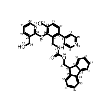 O=C(NCc1c(-c2ccncc2)ccc(Cl)c1Sc1ncccc1CO)OCC1c2ccccc2-c2ccccc21